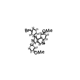 COc1cccc(-c2nn(-c3cccc(Br)c3)c3c2cnc2ccc(OC)cc23)c1